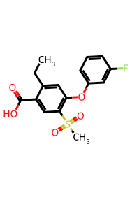 CCc1cc(Oc2cccc(F)c2)c(S(C)(=O)=O)cc1C(=O)O